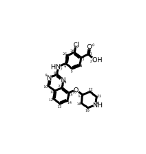 O=C(O)c1ccc(Nc2ncc3cccc(OC4CCNCC4)c3n2)cc1Cl